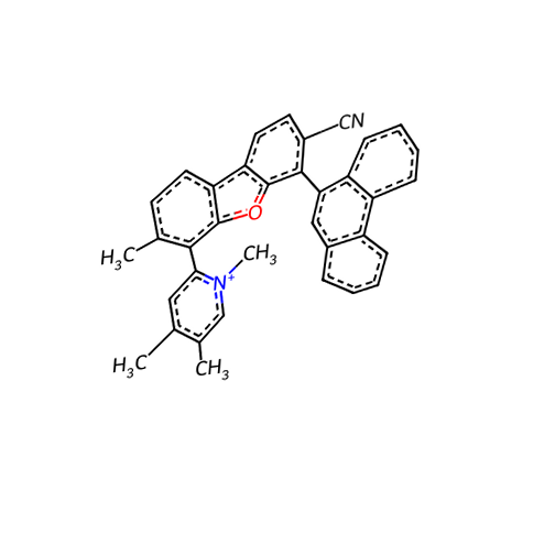 Cc1cc(-c2c(C)ccc3c2oc2c(-c4cc5ccccc5c5ccccc45)c(C#N)ccc23)[n+](C)cc1C